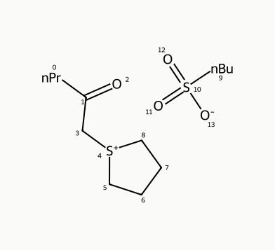 CCCC(=O)C[S+]1CCCC1.CCCCS(=O)(=O)[O-]